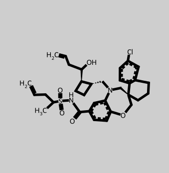 C=CCC(O)[C@@H]1CC[C@H]1CN1C[C@@]2(CCCc3cc(Cl)ccc32)COc2ccc(C(=O)NS(=O)(=O)C(C)CC=C)cc21